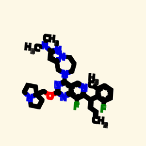 C=C/C=C(/c1ncc2c(N3CCCn4nc(N(C)C)cc4C3)nc(OCC34CCCN3CCC4)nc2c1F)c1c(C)cccc1F